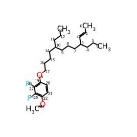 C/C=C/C(CCC)CCCC(CCC)CCCCOc1ccc(OC)c(F)c1F